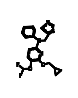 FC(F)Oc1ccc(N(Cc2cncs2)c2ccccc2)nc1OCC1CC1